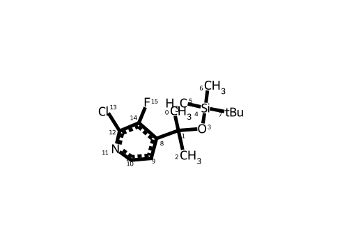 CC(C)(O[Si](C)(C)C(C)(C)C)c1c[c]nc(Cl)c1F